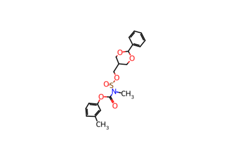 Cc1cccc(OC(=O)N(C)S(=O)OCC2COC(c3ccccc3)OC2)c1